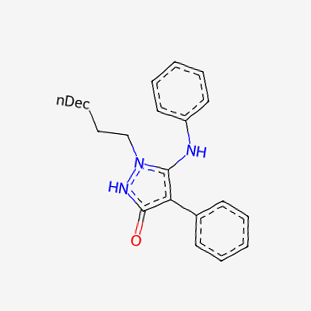 CCCCCCCCCCCCn1[nH]c(=O)c(-c2ccccc2)c1Nc1ccccc1